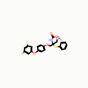 CCC(COc1ccc(Oc2cc(F)cc(F)c2)cc1)(NC(=O)O)Sc1ccccc1